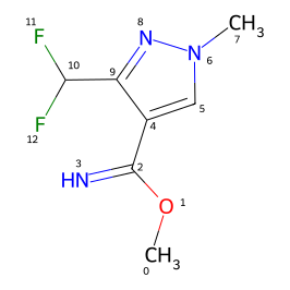 COC(=N)c1cn(C)nc1C(F)F